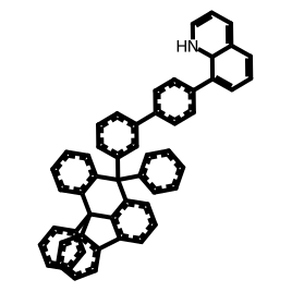 C1=CNC2C(=C1)C=CC=C2c1ccc(-c2cccc(C3(c4ccccc4)c4ccccc4C4(c5ccccc5)c5ccccc5-c5cccc3c54)c2)cc1